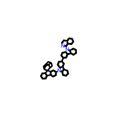 c1ccc2c(c1)-c1ccc(-n3c4ccccc4c4cc(-c5ccc6c(c5)c5ccccc5n6-c5nccc6ccccc56)ccc43)cc1C21C2CC3CC(C2)CC1C3